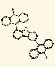 Fc1c2ccccc2c(-c2ccc3oc4c(C5=C6C=CC=CC6C(F)c6ccccc65)cccc4c3c2)c2ccccc12